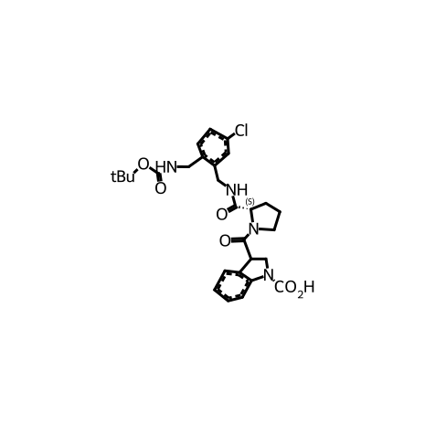 CC(C)(C)OC(=O)NCc1ccc(Cl)cc1CNC(=O)[C@@H]1CCCN1C(=O)C1CN(C(=O)O)c2ccccc21